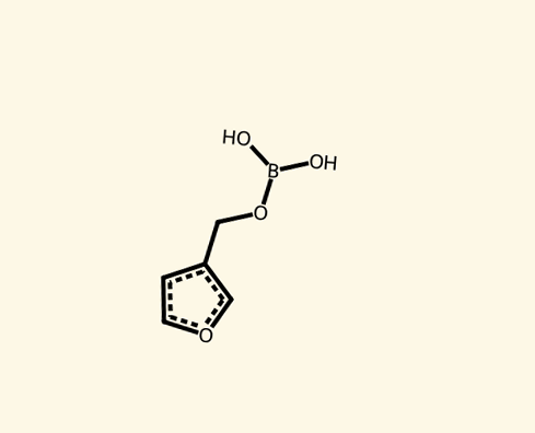 OB(O)OCc1ccoc1